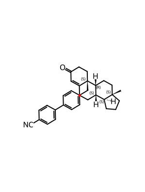 C[C@@]12CCC[C@H]1[C@@H]1CCC3=CC(=O)CC[C@]3(Cc3ccc(-c4ccc(C#N)cc4)cc3)[C@@H]1CC2